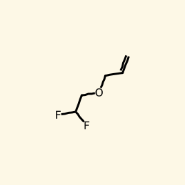 C=CCOCC(F)F